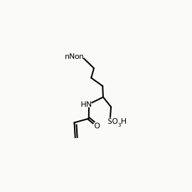 C=CC(=O)NC(CCCCCCCCCCCC)CS(=O)(=O)O